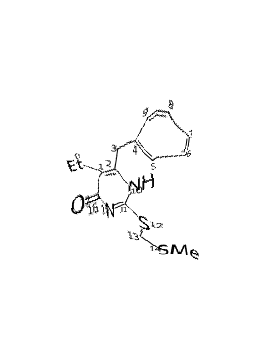 CCc1c(Cc2ccccc2)[nH]c(SCSC)nc1=O